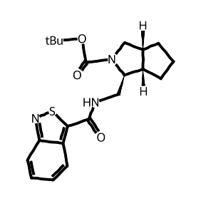 CC(C)(C)OC(=O)N1C[C@@H]2CCC[C@@H]2[C@H]1CNC(=O)c1snc2ccccc12